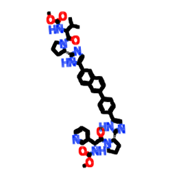 COC(=O)NC(C(=O)N1CCC[C@H]1c1ncc(-c2ccc3cc(-c4ccc(-c5cnc([C@@H]6CCCN6C(=O)[C@H](NC(=O)OC)c6cccnc6)[nH]5)cc4)ccc3c2)[nH]1)C(C)C